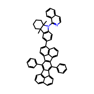 CC12CCCCC1(C)N(c1nccc3ccccc13)c1ccc(-c3ccc4c5c(-c6ccccc6)c6c7cccc8cccc(c6c(-c6ccccc6)c5c5cccc3c54)c87)cc12